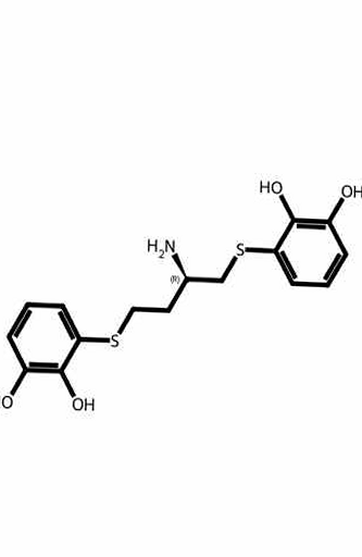 N[C@H](CCSc1cccc(O)c1O)CSc1cccc(O)c1O